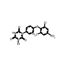 CCn1c(=O)[nH]c(=O)n(-c2ccc(Sc3c(C)cc([N+](=O)[O-])cc3Cl)cc2)c1=O